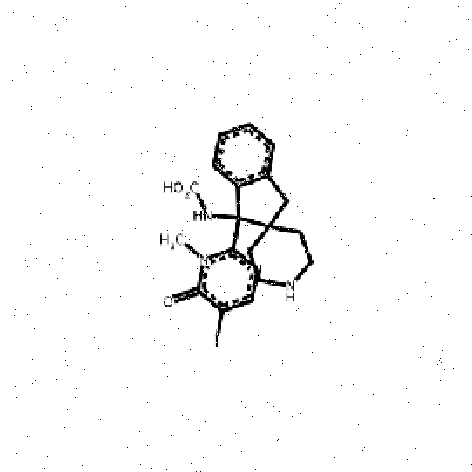 Cn1c(C2(NC(=O)O)c3ccccc3CC23CCNCC3)ncc(I)c1=O